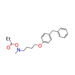 CCC(=O)ON(C)CCCCOc1ccc(Cc2ccccc2)cc1